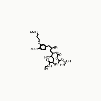 COCCCOc1cc(CC(CC(NC(=O)OC(C)ON(O)O)C(O)CC(C(=O)NCC(C)C)C(C)C)C(C)C)ccc1OC